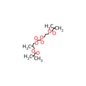 C=C(C)C(=O)OCCCOC(=O)C(=O)OCC(C)COC(=O)C(=C)C